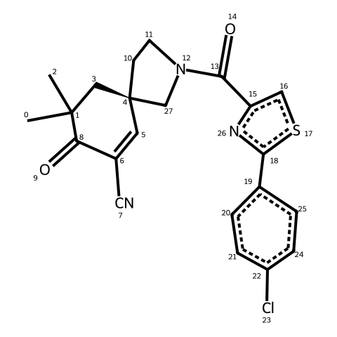 CC1(C)C[C@@]2(C=C(C#N)C1=O)CCN(C(=O)c1csc(-c3ccc(Cl)cc3)n1)C2